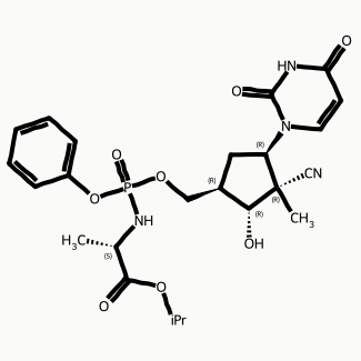 CC(C)OC(=O)[C@H](C)NP(=O)(OC[C@H]1C[C@@H](n2ccc(=O)[nH]c2=O)[C@](C)(C#N)[C@@H]1O)Oc1ccccc1